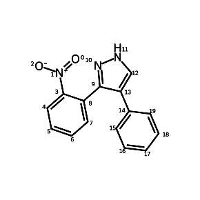 O=[N+]([O-])c1ccccc1-c1n[nH]cc1-c1ccccc1